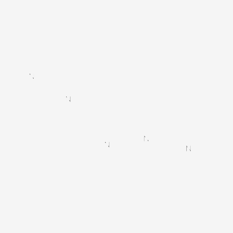 CC(C)N1CCn2c(cc3cc(N4CCN(C)CC4)cnc32)C1